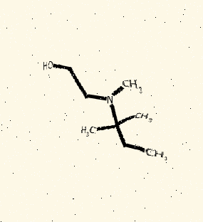 CCC(C)(C)N(C)CCO